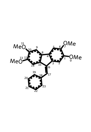 COc1cc2c(cc1OC)-c1cc(OC)c(OC)cc1C2=Cc1ccccc1